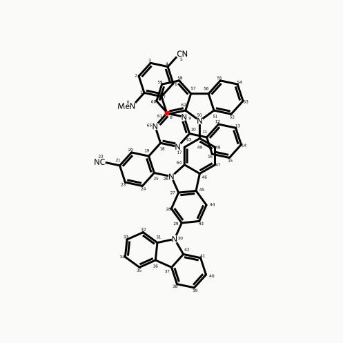 CNc1ccc(C#N)cc1-c1nc(-c2ccccc2)nc(-c2cc(C#N)ccc2-n2c3cc(-n4c5ccccc5c5ccccc54)ccc3c3ccc(-n4c5ccccc5c5ccccc54)cc32)n1